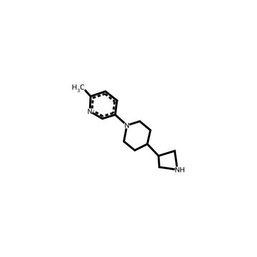 Cc1ccc(N2CCC(C3CNC3)CC2)cn1